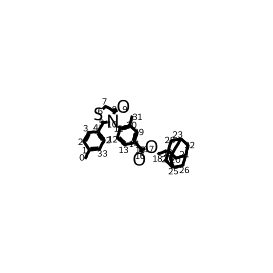 Cc1ccc(C2SCC(=O)N2c2ccc(C(=O)OCC34CC5CC(CC(C5)C3)C4)cc2C)cc1